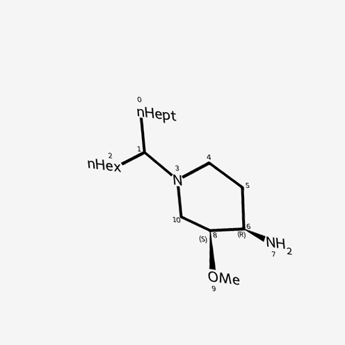 CCCCCCCC(CCCCCC)N1CC[C@@H](N)[C@@H](OC)C1